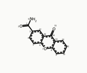 NC(=O)c1ccc2oc3ccccc3c(=O)c2c1